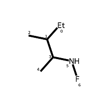 CCC(C)C(C)NF